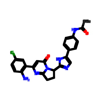 COC(=O)Nc1ccc(-c2cnc(C3CCc4nc(-c5cc(Cl)ccc5N)cc(=O)n43)[nH]2)cc1